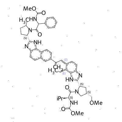 C=C(/C=c1/ccc2nc([C@@H]3C[C@H](COC)CN3C(=O)[C@@H](NC(=O)OC)C(C)C)[nH]c2/c1=C/C)c1ccc2c(ccc3nc([C@@H]4CCC(C)N4C(=O)C(NC(=O)OC)c4ccccc4)[nH]c32)c1